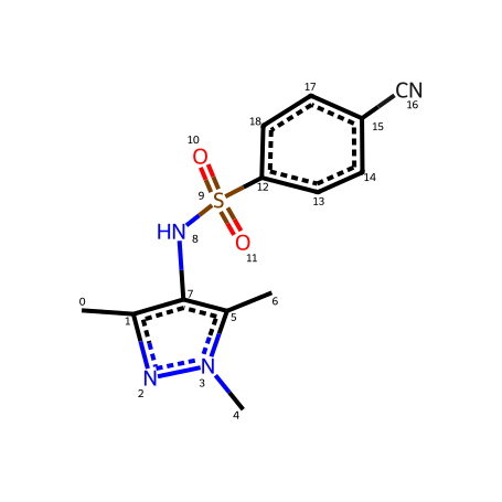 Cc1nn(C)c(C)c1NS(=O)(=O)c1ccc(C#N)cc1